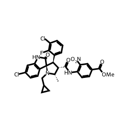 COC(=O)c1ccc(NC(=O)[C@@H]2[C@H](C)N(CC3CC3)[C@@]3(C(=O)Nc4cc(Cl)ccc43)[C@H]2c2cccc(Cl)c2F)c([N+](=O)[O-])c1